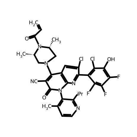 C=CC(=O)N1[C@H](C)CN(c2c(C#N)c(=O)n(-c3c(C)ccnc3C(C)C)c3nc(-c4c(F)c(F)c(F)c(O)c4Cl)c(Cl)cc23)C[C@@H]1C